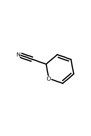 N#CC1C=CC=CO1